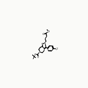 COC(=O)CCCn1nc2c(c1-c1ccc(Cl)cc1)CCN(C(=O)OC(C)(C)C)CC2